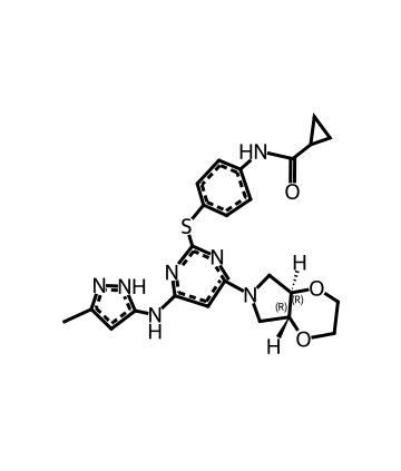 Cc1cc(Nc2cc(N3C[C@H]4OCCO[C@@H]4C3)nc(Sc3ccc(NC(=O)C4CC4)cc3)n2)[nH]n1